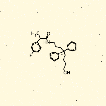 CC(C(=O)NCCCC(CCCCO)(c1ccccc1)c1ccccc1)c1ccc(F)cc1